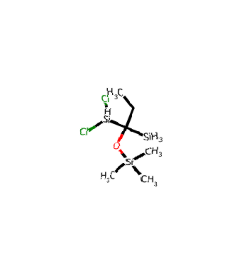 CCC([SiH3])(O[Si](C)(C)C)[SiH](Cl)Cl